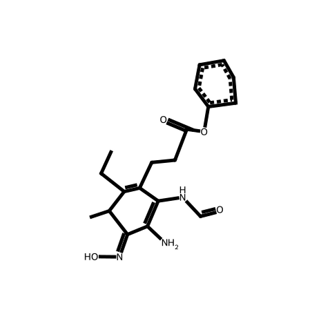 CCC1=C(CCC(=O)Oc2ccccc2)C(NC=O)=C(N)C(=NO)C1C